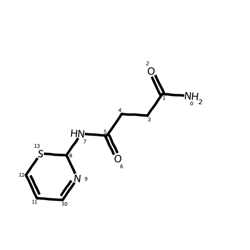 NC(=O)CCC(=O)NC1N=CC=CS1